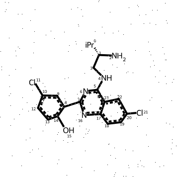 CC(C)[C@H](N)CNc1nc(-c2cc(Cl)ccc2O)nc2ccc(Cl)cc12